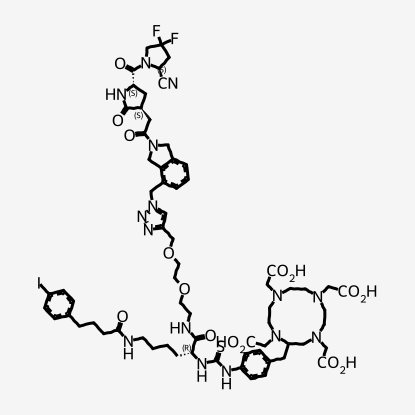 N#C[C@@H]1CC(F)(F)CN1C(=O)[C@@H]1C[C@@H](CC(=O)N2Cc3cccc(Cn4cc(COCCOCCNC(=O)[C@@H](CCCCNC(=O)CCCc5ccc(I)cc5)NC(=S)Nc5ccc(CC6CN(CC(=O)O)CCN(CC(=O)O)CCN(CC(=O)O)CCN6CC(=O)O)cc5)nn4)c3C2)C(=O)N1